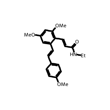 CCNC(=O)C=Cc1c(/C=C/c2ccc(OC)cc2)cc(OC)cc1OC